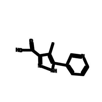 Cc1c(C(=O)O)n[nH]c1-c1cccnc1